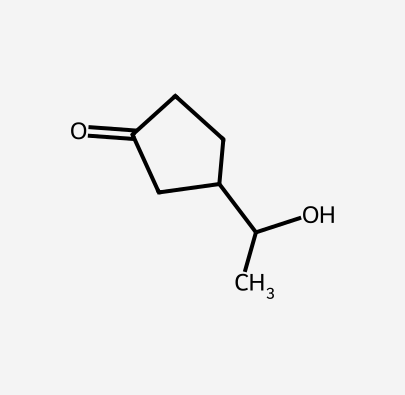 CC(O)C1CCC(=O)C1